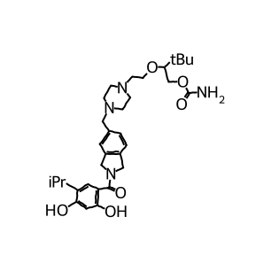 CC(C)c1cc(C(=O)N2Cc3ccc(CN4CCN(CCOC(COC(N)=O)C(C)(C)C)CC4)cc3C2)c(O)cc1O